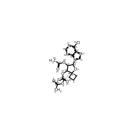 CC(=O)OC[C@H]1CC[C@@]12OC(n1cnc3c(Cl)ncnc31)C(OC(C)=O)C2OC(C)=O